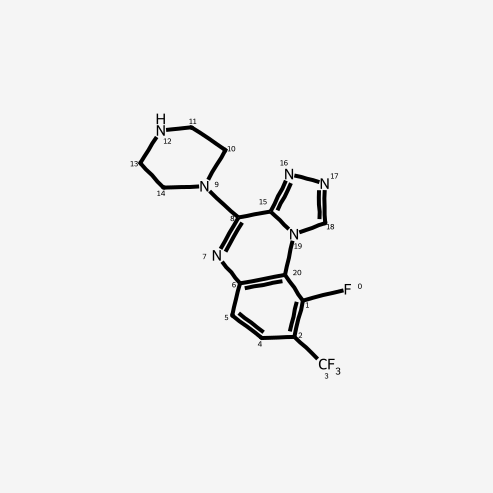 Fc1c(C(F)(F)F)ccc2nc(N3CCNCC3)c3nncn3c12